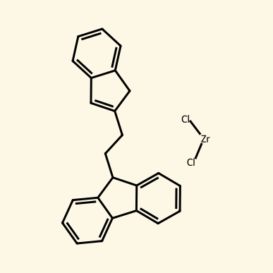 C1=C(CCC2c3ccccc3-c3ccccc32)Cc2ccccc21.[Cl][Zr][Cl]